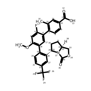 COc1cc(F)c(-c2ccc(C(=O)O)cc2C)cc1-c1ccc(C(F)(F)F)cc1[C@@H]1CC[C@H]2COC(=O)N21